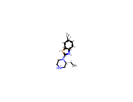 CC(C)C[C@@H]1CNCCN1c1nc2ccc(C(F)(F)F)cc2s1